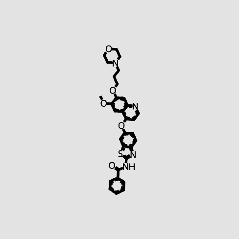 COc1cc2c(Oc3ccc4nc(NC(=O)c5ccccc5)sc4c3)ccnc2cc1OCCCN1CCOCC1